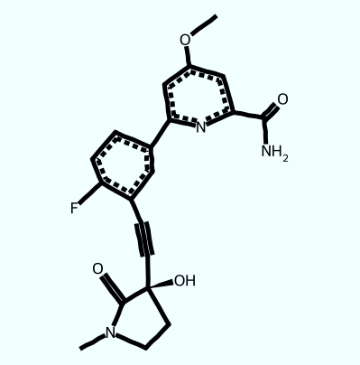 COc1cc(C(N)=O)nc(-c2ccc(F)c(C#C[C@]3(O)CCN(C)C3=O)c2)c1